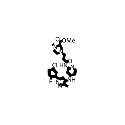 COC(=O)C1CN(CCC(=O)Nc2cc(Nc3cc(-c4cc(Cl)ccc4F)nnc3C)ccn2)CCN1C